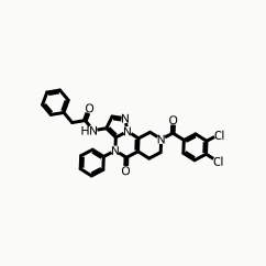 O=C(Cc1ccccc1)Nc1cnn2c3c(c(=O)n(-c4ccccc4)c12)CCN(C(=O)c1ccc(Cl)c(Cl)c1)C3